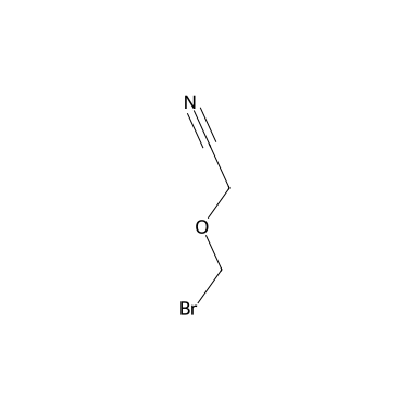 N#CCOCBr